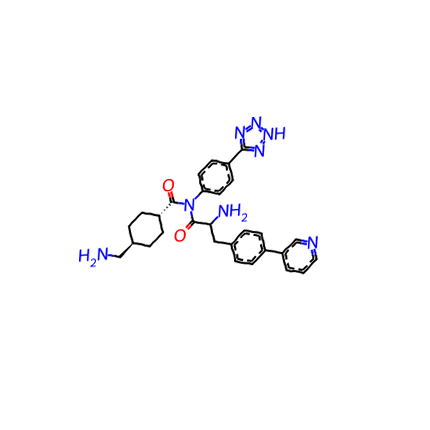 NC[C@H]1CC[C@H](C(=O)N(C(=O)C(N)Cc2ccc(-c3cccnc3)cc2)c2ccc(-c3nn[nH]n3)cc2)CC1